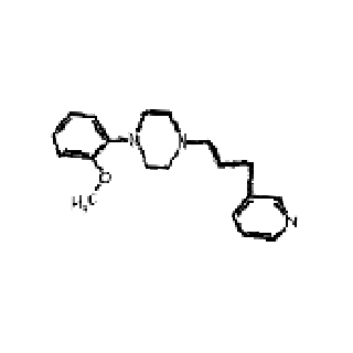 COc1ccccc1N1CCN(CCCc2cccnc2)CC1